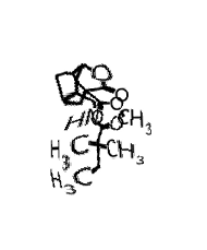 CCC(C)(C)C(=O)NCC1C2CC3C1OC(=O)C3(C(=O)OC)C2